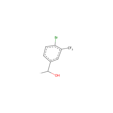 [CH2]C(O)c1ccc(Br)c(C(F)(F)F)c1